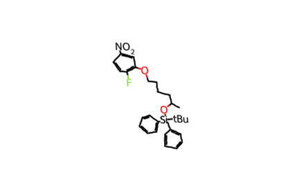 CC(CCCCOc1cc([N+](=O)[O-])ccc1F)O[Si](c1ccccc1)(c1ccccc1)C(C)(C)C